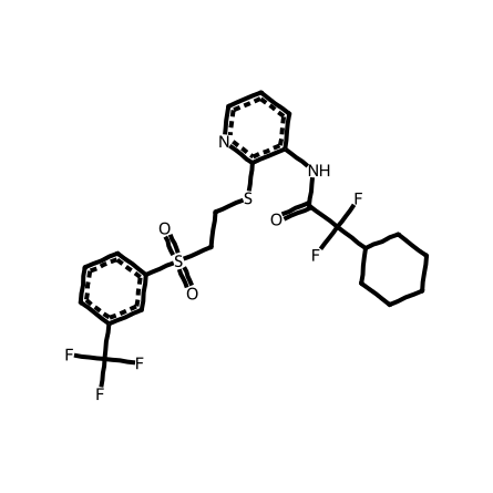 O=C(Nc1cccnc1SCCS(=O)(=O)c1cccc(C(F)(F)F)c1)C(F)(F)C1CCCCC1